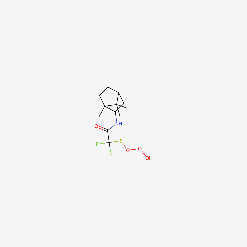 CC1(C)C2CCC1(C)C(NC(=O)C(F)(F)SOOO)C2